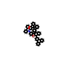 c1ccc(-c2ccccc2N(c2ccc3c(c2)C(c2ccccc2)(c2ccccc2)c2ccccc2-3)c2ccc3oc4c(-c5ccc6c7ccccc7c7ccccc7c6c5)c5ccccc5cc4c3c2)cc1